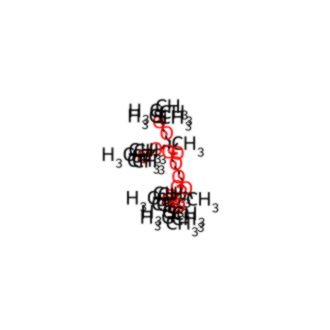 CCC(CCOCCO[Si](C)(C)C(C)(C)C)(CCOCCO[Si](C)(C)C(C)(C)C)OC(=O)COCCOCC(=O)OC(CC)(CCOO[Si](C)(C)C(C)(C)C)CCOO[Si](C)(C)C(C)(C)C